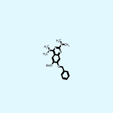 COc1cc2c(N(C)C)nc(N(C)C)nc2cc1OCc1ccccc1